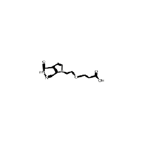 O=C(O)CCOCCn1ccc2c(=O)[nH]ncc21